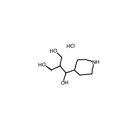 Cl.OCC(CO)C(O)C1CCNCC1